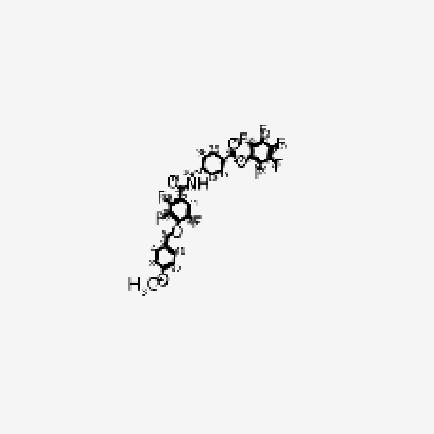 COc1ccc(COc2c(F)cc(C(=O)NC[C@H]3CC[C@H](C(=O)Oc4c(F)c(F)c(F)c(F)c4F)CC3)c(F)c2F)cc1